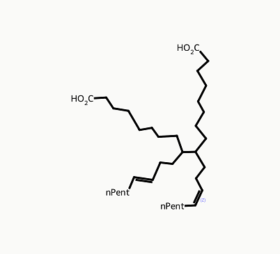 CCCCCC=CCCC(CCCCCCCC(=O)O)C(CC/C=C\CCCCC)CCCCCCCC(=O)O